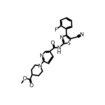 COC(=O)C1CCN(c2ccc(C(=O)Nc3nc(-c4ccccc4F)c(C#N)s3)cn2)CC1